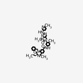 CCC[C@@H]1N=C(C)c2ccc(C(=O)Nc3ccc(C)c(N4Cc5cnc(Nc6ccc(C)nc6)nc5N(C)C4=O)c3)cc2N(Cc2ccccc2)C1=O